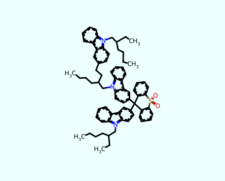 CCCCC(CC)Cn1c2ccccc2c2cc(CCC(CCCC)Cn3c4ccccc4c4cc(C5(c6ccc7c(c6)c6ccccc6n7CC(CC)CCCC)c6ccccc6S(=O)(=O)c6ccccc65)ccc43)ccc21